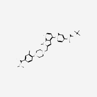 Cc1cc(C(=O)N(C)C)ccc1N1CCN(Cc2cc3c(-n4ccc(N(C)C(=O)OC(C)(C)C)cc4=O)ccnc3n2C)[C@H](C)C1